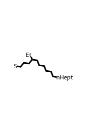 CCCCCCCCCCCCCC(CC)CCC[S]